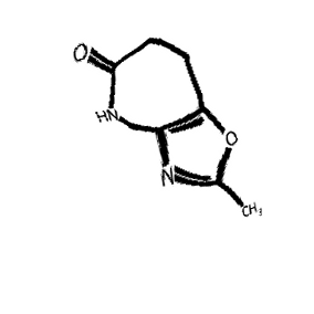 Cc1nc2c(o1)CCC(=O)N2